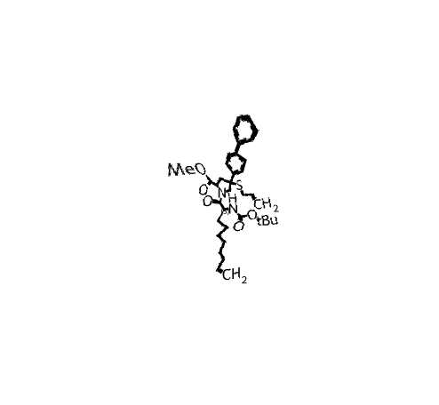 C=CCCCCCC[C@H](NC(=O)OC(C)(C)C)C(=O)N1CC(SCC=C)(c2ccc(-c3ccccc3)cc2)CC1C(=O)OC